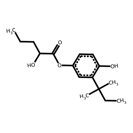 CCCC(O)C(=O)Oc1ccc(O)c(C(C)(C)CC)c1